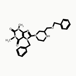 Cn1c(=O)c2c(nc(N3CCNC(COCc4ccccc4)C3)n2Cc2ccccc2)n(C)c1=O